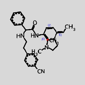 C\C=C(/C=C\C(=C/C)C1CCN(C)C1)NC(=O)C(NCCc1ccc(C#N)cc1)c1ccccc1